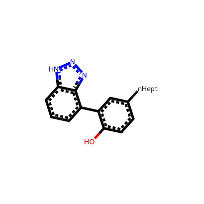 CCCCCCCc1ccc(O)c(-c2cccc3[nH]nnc23)c1